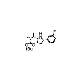 CC([C@H]1CC[C@@H](c2cccc(F)c2)N1)N(C)C(=O)OC(C)(C)C